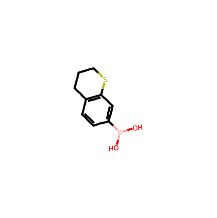 OB(O)c1ccc2c(c1)SCCC2